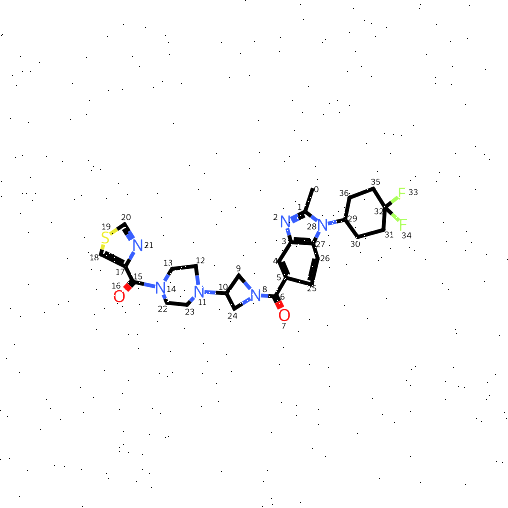 Cc1nc2cc(C(=O)N3CC(N4CCN(C(=O)c5cscn5)CC4)C3)ccc2n1C1CCC(F)(F)CC1